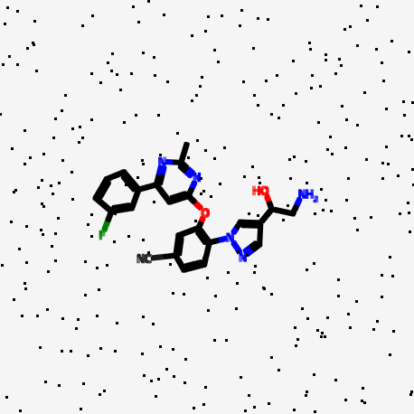 Cc1nc(Oc2cc(C#N)ccc2-n2cc(C(O)CN)cn2)cc(-c2cccc(F)c2)n1